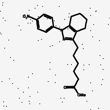 COC(=O)CCCCCc1nn(-c2ccc([N+](=O)[O-])cc2)c2c1CCCC2